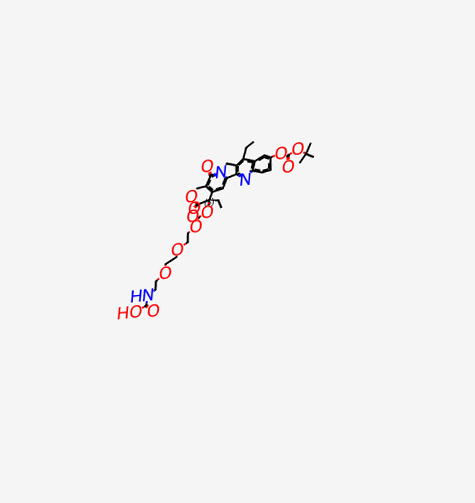 CCc1c2c(nc3ccc(OC(=O)OC(C)(C)C)cc13)-c1cc3c(c(=O)n1C2)COC(=O)[C@@]3(CC)OC(=O)OCCOCCOCCNC(=O)O